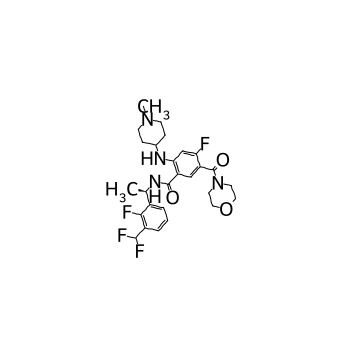 C[C@@H](NC(=O)c1cc(C(=O)N2CCOCC2)c(F)cc1NC1CCN(C)CC1)c1cccc(C(F)F)c1F